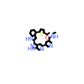 CCNCc1cncc(-c2cc3c(-c4cc5c(-c6ccc(C(C)=O)s6)cccc5[nH]4)n[nH]c3cn2)c1